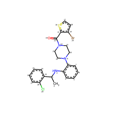 CC(Nc1ccccc1N1CCN(C(=O)c2sccc2Br)CC1)c1ccccc1Cl